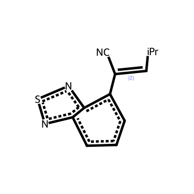 CC(C)/C=C(\C#N)c1cccc2nsnc12